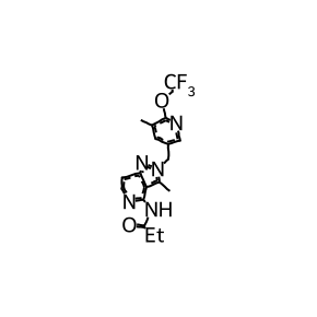 CCC(=O)Nc1nccc2nn(Cc3cnc(OCC(F)(F)F)c(C)c3)c(C)c12